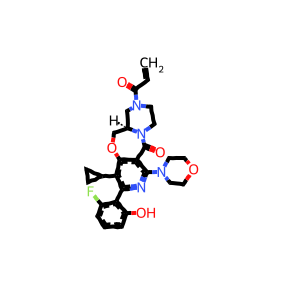 C=CC(=O)N1CCN2C(=O)c3c(N4CCOCC4)nc(-c4c(O)cccc4F)c(C4CC4)c3OC[C@H]2C1